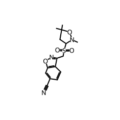 CN1OC(C)(C)CC1S(=O)(=O)Cc1noc2cc(C#N)ccc12